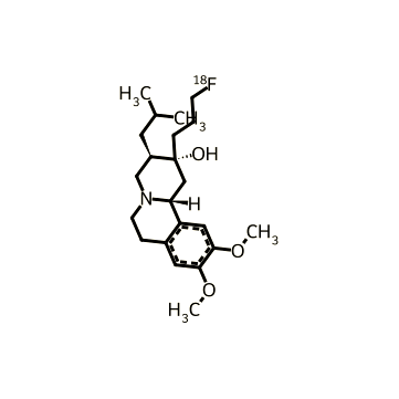 COc1cc2c(cc1OC)[C@H]1C[C@](O)(CCC[18F])[C@H](CC(C)C)CN1CC2